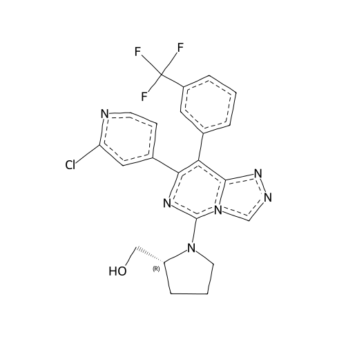 OC[C@H]1CCCN1c1nc(-c2ccnc(Cl)c2)c(-c2cccc(C(F)(F)F)c2)c2nncn12